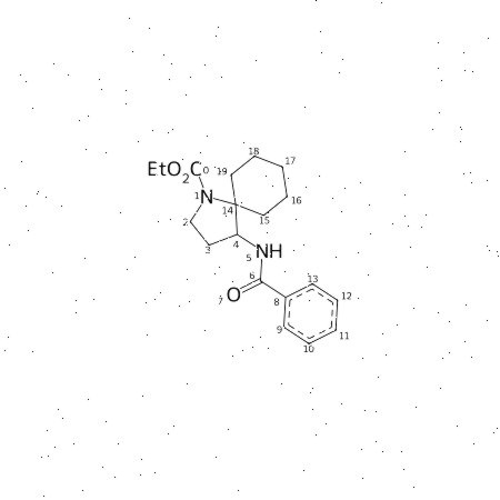 CCOC(=O)N1CCC(NC(=O)c2ccccc2)C12CCCCC2